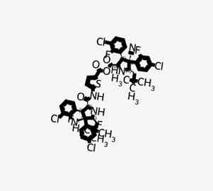 CC(C)(C)C[C@@H]1N[C@@H](C(=O)Nc2ccc(C(=O)OC(=O)[C@@H]3N[C@@H](CC(C)(C)C)[C@](C#N)(c4ccc(Cl)cc4F)[C@H]3c3cccc(Cl)c3F)s2)[C@H](c2cccc(Cl)c2F)[C@@]1(C#N)c1ccc(Cl)cc1F